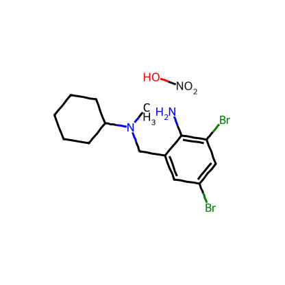 CN(Cc1cc(Br)cc(Br)c1N)C1CCCCC1.O=[N+]([O-])O